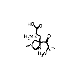 C[C@H](N)C(=O)C1(C[C@H](N)C(=O)O)CN(C)C=N1